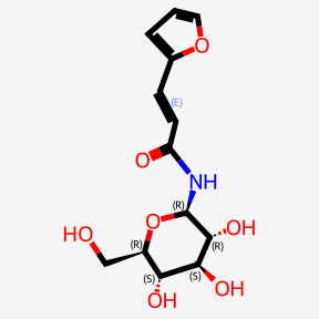 O=C(/C=C/c1ccco1)N[C@@H]1O[C@H](CO)[C@@H](O)[C@H](O)[C@H]1O